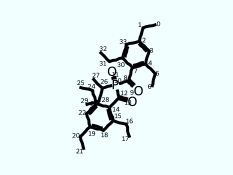 CCc1cc(CC)c(C(=O)P(=O)(C(=O)c2c(CC)cc(CC)cc2CC)C(C)CC)c(CC)c1